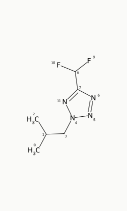 CC(C)Cn1nnc(C(F)F)n1